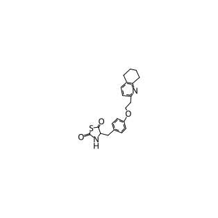 O=C1NC(Cc2ccc(OCCc3ccc4c(n3)CCCC4)cc2)C(=O)S1